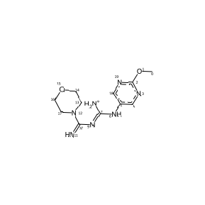 COc1ncc(N/C(N)=N/C(=N)N2CCOCC2)cn1